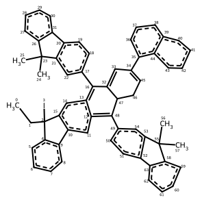 CCC1(I)c2ccccc2-c2cc3c(cc21)=C(c1ccc2c(c1)C(C)(C)c1ccccc1-2)C1=CC(c2cccc4ccccc24)=CCC1C=3c1ccc2c(c1)C(C)(C)c1ccccc1-2